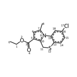 CCOC(=O)c1cc(C)n2c1CSc1ccc(Cl)cc1-2